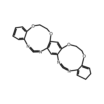 C1=NC2=CCCC=C2OCCOc2cc3c(cc2N=1)N=C=Nc1ccccc1OCCO3